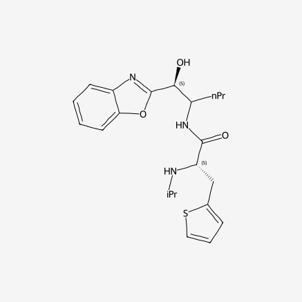 CCCC(NC(=O)[C@H](Cc1cccs1)NC(C)C)[C@H](O)c1nc2ccccc2o1